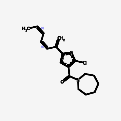 C=C(/C=C\C=C/C)c1cc(C(=O)N2CCCCCC2)c(Cl)s1